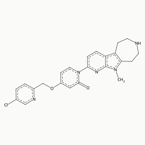 Cn1c2c(c3ccc(-n4ccc(OCc5ccc(Cl)cn5)cc4=O)nc31)CCNCC2